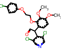 COc1ccc(C(C=O)c2c(Cl)cncc2Cl)c(OCCOc2ccc(Cl)cc2)c1OC